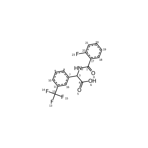 O=C(NC(C(=O)O)c1cccc(C(F)(F)F)c1)c1ccccc1F